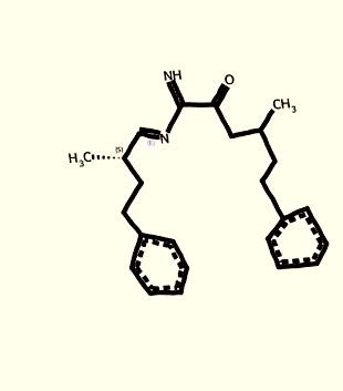 CC(CCc1ccccc1)CC(=O)C(=N)/N=C/[C@@H](C)CCc1ccccc1